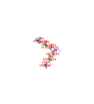 N.O[Si](O)(O)F.O[Si](O)(O)F.O[Si](O)(O)F.O[Si](O)(O)F.O[Si](O)(O)F.[Cs+].[O-][Si](O)(O)F